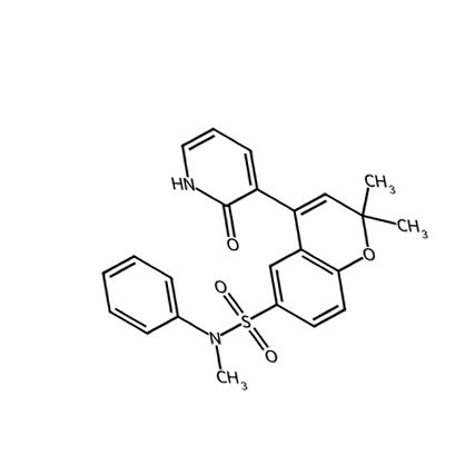 CN(c1ccccc1)S(=O)(=O)c1ccc2c(c1)C(c1ccc[nH]c1=O)=CC(C)(C)O2